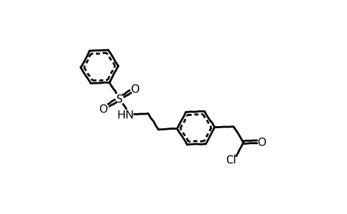 O=C(Cl)Cc1ccc(CCNS(=O)(=O)c2ccccc2)cc1